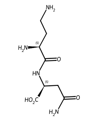 NCC[C@H](N)C(=O)N[C@@H](CC(N)=O)C(=O)O